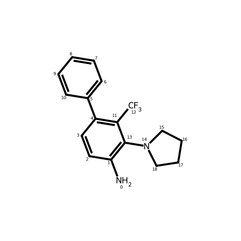 Nc1ccc(-c2ccccc2)c(C(F)(F)F)c1N1CCCC1